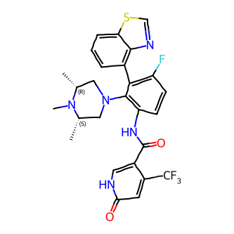 C[C@@H]1CN(c2c(NC(=O)c3c[nH]c(=O)cc3C(F)(F)F)ccc(F)c2-c2cccc3scnc23)C[C@H](C)N1C